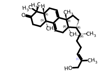 C/C(=C\CC[C@@H](C)[C@H]1CC[C@@]2(C)C3=CC[C@H]4C(C)(C)C(=O)CC[C@]4(C)C3=CC[C@]12C)CO